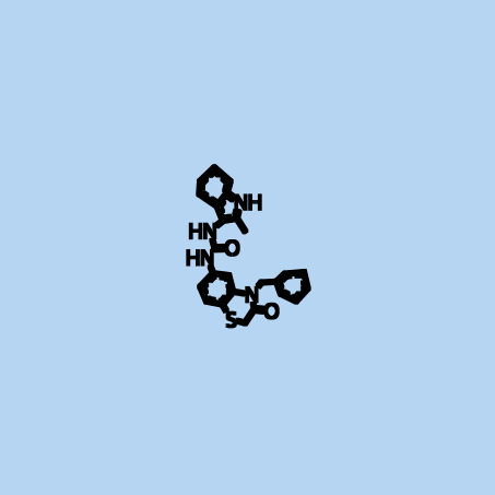 Cc1[nH]c2ccccc2c1NC(=O)Nc1ccc2c(c1)N(Cc1ccccc1)C(=O)CS2